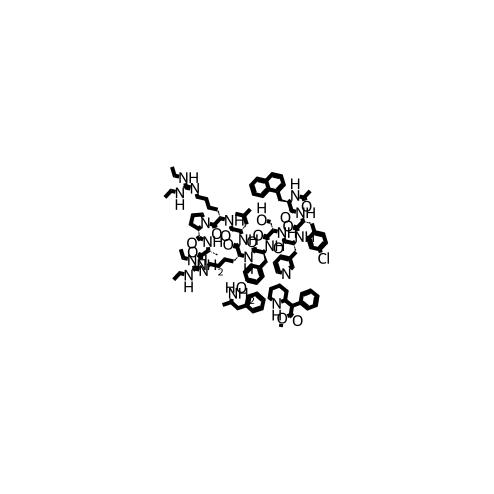 CC(N)Cc1ccccc1.CCNC(=NCCCC[C@H](NC(=O)[C@H](CC(C)C)NC(=O)[C@@H](CCCCN=C(NCC)NCC)NC(=O)[C@H](Cc1ccc(O)cc1)NC(=O)[C@H](CO)NC(=O)[C@@H](Cc1cccnc1)NC(=O)[C@@H](Cc1ccc(Cl)cc1)NC(=O)[C@@H](Cc1cccc2ccccc12)NC(C)=O)C(=O)N1CCC[C@H]1C(=O)N[C@H](C)C(N)=O)NCC.COC(=O)C(c1ccccc1)C1CCCCN1